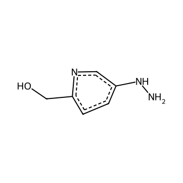 NNc1ccc(CO)nc1